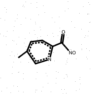 Cc1ccc(C(=O)N=O)nc1